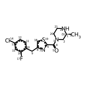 C[C@H]1CN(C(=O)c2nc(Cc3ccc(Cl)cc3F)cs2)CCN1